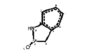 [O-][S+]1Cc2ccccc2N1